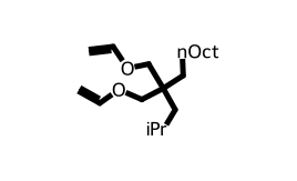 C=COCC(CCCCCCCCC)(COC=C)CC(C)C